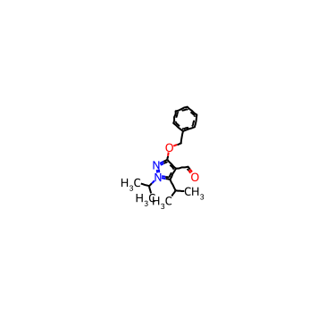 CC(C)c1c(C=O)c(OCc2ccccc2)nn1C(C)C